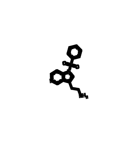 NCCc1cn(S(=O)(=O)c2ccccc2)c2ccncc12